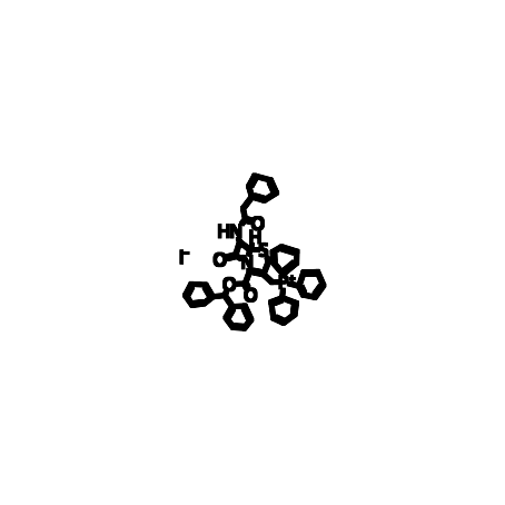 O=C(Cc1ccccc1)NC1C(=O)N2C(C(=O)OC(c3ccccc3)c3ccccc3)=C(C[P+](c3ccccc3)(c3ccccc3)c3ccccc3)CS[C@@H]12.[I-]